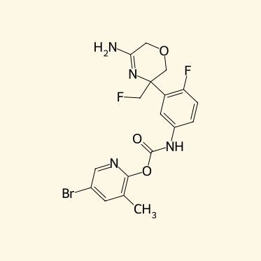 Cc1cc(Br)cnc1OC(=O)Nc1ccc(F)c(C2(CF)COCC(N)=N2)c1